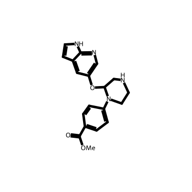 COC(=O)c1ccc(N2CCNCC2Oc2cnc3[nH]ccc3c2)cc1